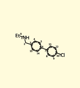 CCNCc1ccc(-c2ccc(Cl)cc2)cc1